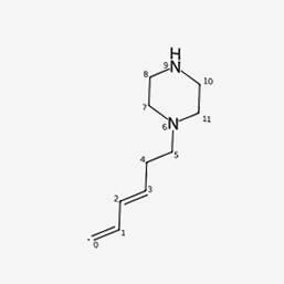 [CH]=CC=CCCN1CCNCC1